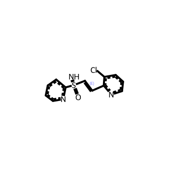 N=S(=O)(/C=C/c1ncccc1Cl)c1ccccn1